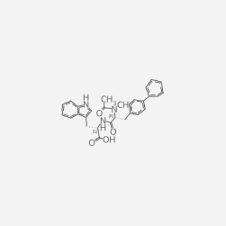 CC(=O)N(C)[C@H](Cc1ccc(-c2ccccc2)cc1)C(=O)N[C@@H](Cc1c[nH]c2ccccc12)C(=O)O